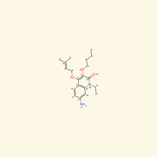 CCCCOc1c(OCC=C(C)C)c2ccc(N)cc2n(CC)c1=O